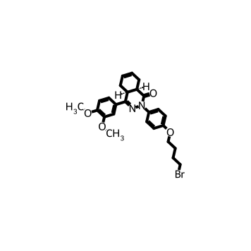 COc1ccc(C2=NN(c3ccc(OCCCCBr)cc3)C(=O)[C@@H]3CC=CC[C@H]23)cc1OC